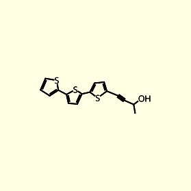 CC(O)C#Cc1ccc(-c2ccc(-c3cccs3)s2)s1